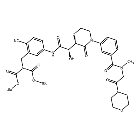 CN(CC(=O)N1CCOCC1)C(=O)c1cccc(N2CCO[C@H]([C@@H](O)C(=O)Nc3ccc(C#N)c(CN(C(=O)OC(C)(C)C)C(=O)OC(C)(C)C)c3)C2=O)c1